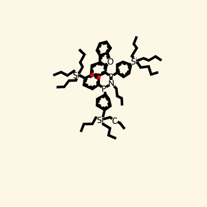 CCCCN(P(c1ccc([Si](CCCC)(CCCC)CCCC)cc1)c1ccc([Si](CCCC)(CCCC)CCCC)cc1)P(c1ccc([Si](CCCC)(CCCC)CCCC)cc1)c1cccc2c1oc1ccccc12